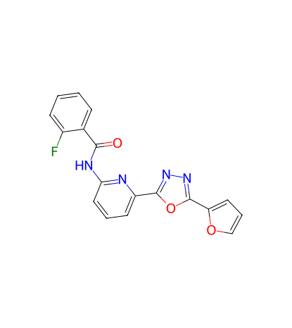 O=C(Nc1cccc(-c2nnc(-c3ccco3)o2)n1)c1ccccc1F